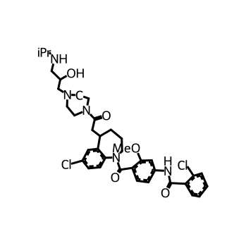 COc1cc(NC(=O)c2ccccc2Cl)ccc1C(=O)N1CCCC(CC(=O)N2CCN(CC(O)CNC(C)C)CC2)c2cc(Cl)ccc21